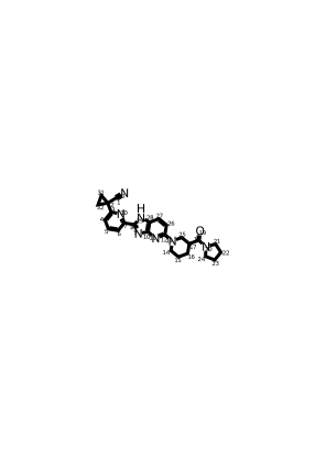 N#CC1(c2cccc(-c3nc4nc(N5CCCC(C(=O)N6CCCC6)C5)ccc4[nH]3)n2)CC1